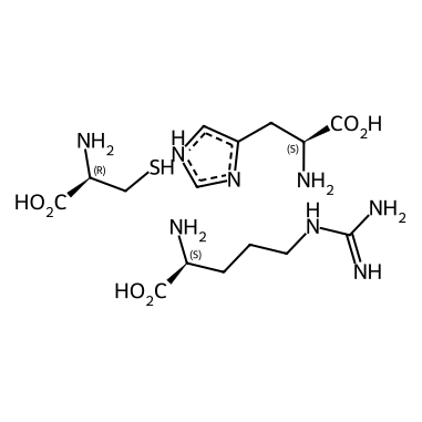 N=C(N)NCCC[C@H](N)C(=O)O.N[C@@H](CS)C(=O)O.N[C@@H](Cc1c[nH]cn1)C(=O)O